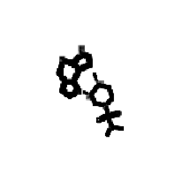 C[C@@H]1CCN(S(=O)(=O)N(C)C)C[C@@H]1n1ccc2cnc3[nH]ccc3c21